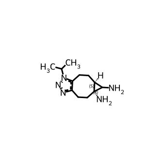 CC(C)n1nnc2c1CC[C@H]1C(N)[C@@]1(N)CC2